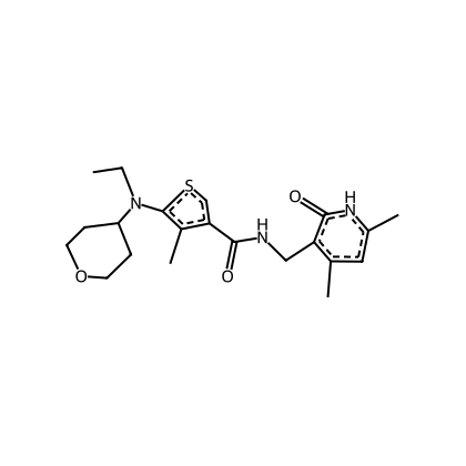 CCN(c1scc(C(=O)NCc2c(C)cc(C)[nH]c2=O)c1C)C1CCOCC1